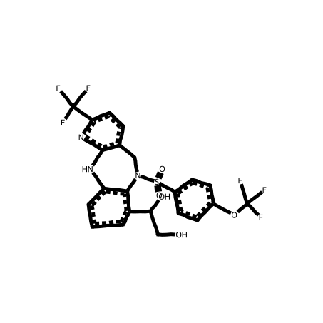 O=S(=O)(c1ccc(OC(F)(F)F)cc1)N1Cc2ccc(C(F)(F)F)nc2Nc2cccc(C(O)CO)c21